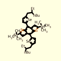 CCCCC(CC)Cc1ccc(-c2c3c[c]([Sn]([CH3])([CH3])[CH3])sc3c(-c3ccc(CC(CC)CCCC)[se]3)c3c[c]([Sn]([CH3])([CH3])[CH3])sc23)[se]1